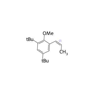 C/C=C\c1cc(C(C)(C)C)cc(C(C)(C)C)c1OC